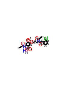 C#CC(=O)Nc1cc(OC)c(OCCCN(C(=O)C#C)C(=O)Cc2ccccc2Cl)cc1C(=O)OC